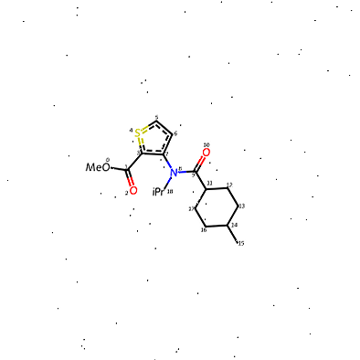 COC(=O)c1sccc1N(C(=O)C1CCC(C)CC1)C(C)C